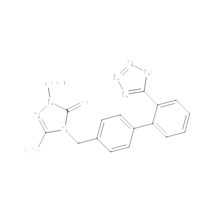 CCCCCCCCn1nc(CCCC)n(Cc2ccc(-c3ccccc3-c3nnn[nH]3)cc2)c1=O